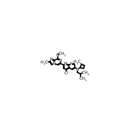 COc1nc(-c2cc(Cl)c3cc(N(CC(C)C)C4CC[C@H]4C)cnc3n2)cn2cc(C)nc12